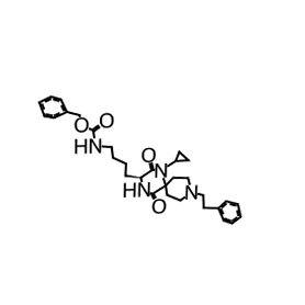 O=C(NCCCC[C@@H]1NC(=O)C2(CCN(CCc3ccccc3)CC2)N(C2CC2)C1=O)OCc1ccccc1